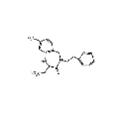 Nc1ccc2c(c1)NC(CC(=O)O)C(=O)N(CCc1ccccc1)C2